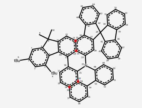 CC(C)(C)c1cc(C(C)(C)C)c2c(c1)C(C)(C)c1cccc(-c3ccccc3N(c3ccc4c(c3)C3(c5ccccc5-c5ccccc53)c3ccccc3-4)c3ccccc3-c3ccccc3)c1-2